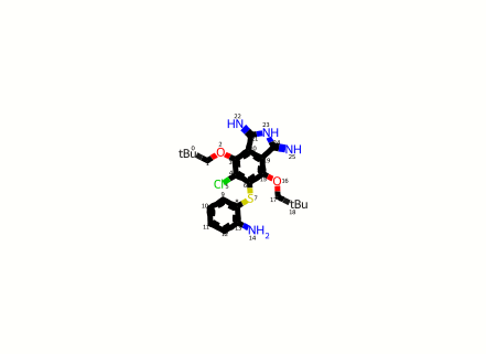 CC(C)(C)COc1c(Cl)c(Sc2ccccc2N)c(OCC(C)(C)C)c2c1C(=N)NC2=N